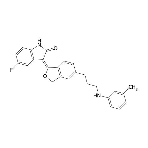 Cc1cccc(NCCCc2ccc3c(c2)COC3=C2C(=O)Nc3ccc(F)cc32)c1